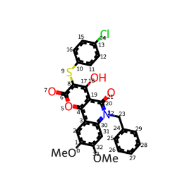 COc1cc2c3oc(=O)c(Sc4ccc(Cl)cc4)c(O)c3c(=O)n(Cc3ccccc3)c2cc1OC